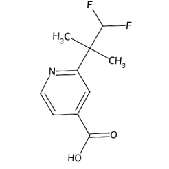 CC(C)(c1cc(C(=O)O)ccn1)C(F)F